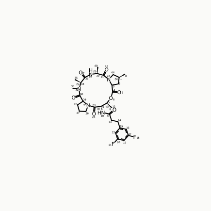 C[C@H]1CC2C(=O)O[C@@H](C)[C@H](NC(=O)CCc3cc(F)cc(F)c3)C(=O)N3CCCC3C(=O)N(C)[C@@H](C)C(=O)N[C@@H](C)C(=O)N2C1